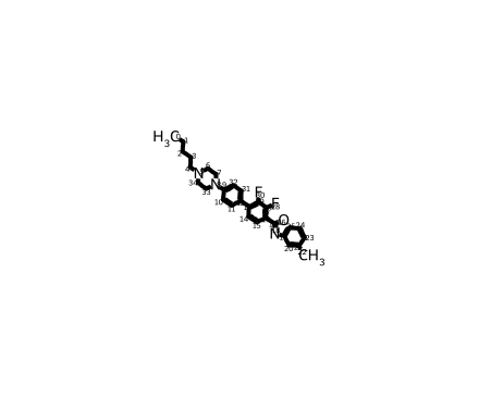 CCCCCN1CCN(c2ccc(-c3ccc(-c4nc5cc(C)ccc5o4)c(F)c3F)cc2)CC1